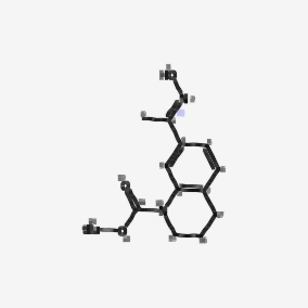 C/C(=N\O)c1ccc2c(c1)N(C(=O)OC(C)(C)C)CCC2